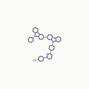 Clc1ccc(-c2cccc(-c3ccc(-n4c5ccccc5c5ccc(-c6ccc7c(c6)c6ccccc6n7-c6ccccc6)cc54)cc3)n2)cc1